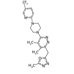 Cc1nnc(Cc2nnc(N3CCN(c4ccc(C(F)(F)F)cn4)CC3)c(C)c2C)o1